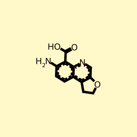 Nc1ccc2c3c(cnc2c1C(=O)O)OCC3